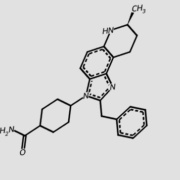 C[C@H]1CCc2c(ccc3c2nc(Cc2ccccc2)n3C2CCC(C(N)=O)CC2)N1